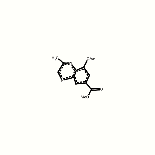 COC(=O)c1cc(OC)c2nc(C)cnc2c1